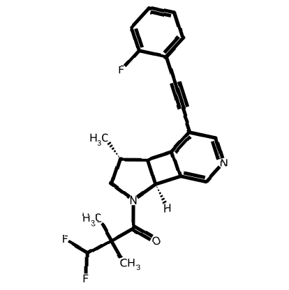 C[C@H]1CN(C(=O)C(C)(C)C(F)F)[C@@H]2c3cncc(C#Cc4ccccc4F)c3C21